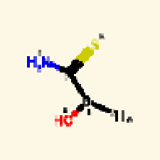 [2H]B(O)C(N)=S